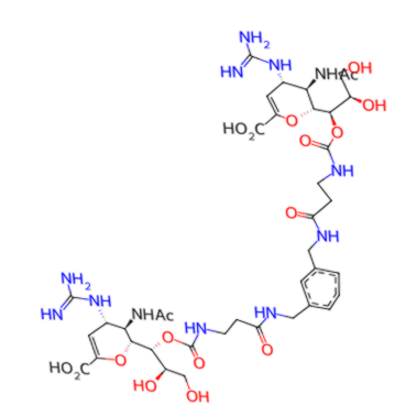 CC(=O)N[C@H]1[C@H]([C@H](OC(=O)NCCC(=O)NCc2cccc(CNC(=O)CCNC(=O)O[C@@H]([C@@H]3OC(C(=O)O)=C[C@H](NC(=N)N)[C@H]3NC(C)=O)[C@H](O)CO)c2)[C@H](O)CO)OC(C(=O)O)=C[C@@H]1NC(=N)N